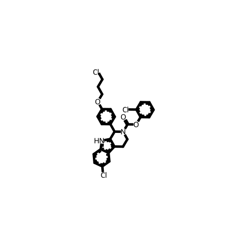 O=C(Oc1ccccc1Cl)N1CCc2c([nH]c3ccc(Cl)cc23)C1c1ccc(OCCCCl)cc1